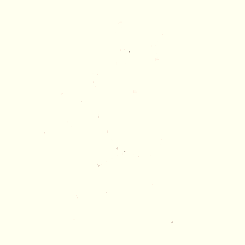 CCCCP(CCCC)(CCCC)(CCCC)Oc1cc(C)cc(C(=O)OC)c1